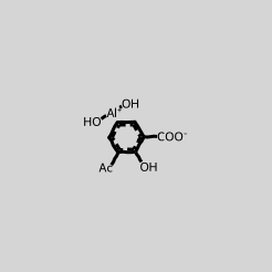 CC(=O)c1cccc(C(=O)[O-])c1O.[OH][Al+][OH]